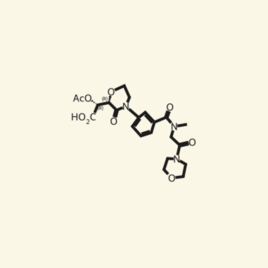 CC(=O)O[C@@H](C(=O)O)[C@H]1OCCN(c2cccc(C(=O)N(C)CC(=O)N3CCOCC3)c2)C1=O